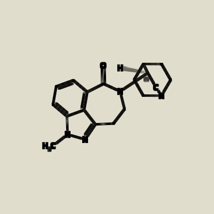 Cn1nc2c3c(cccc31)C(=O)N([C@@H]1CN3CCC1CC3)CC2